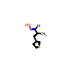 CCC(=NO)/C(C)=C/c1ccsc1